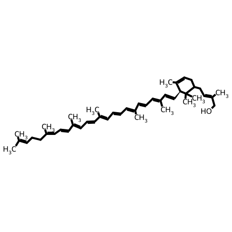 CC(C)=CCC/C(C)=C/C=C/C(C)=C/C=C/C(C)=C/C=C/C=C(C)/C=C/C=C(C)/C=C/[C@H]1C(C)=CCC(C/C=C(\C)CO)C1(C)C